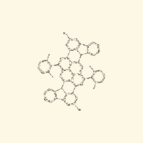 Cc1cccc(C)c1-c1cc2c3c(cc4c(-c5c(C)cccc5C)cc5c6c(cc1c3c46)B1c3ccccc3-c3cc(Br)cc-5c31)B1c3ccccc3-c3cc(Br)cc-2c31